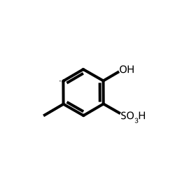 Cc1[c]cc(O)c(S(=O)(=O)O)c1